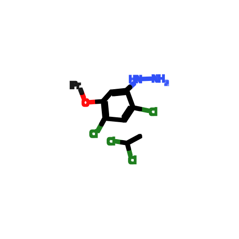 CC(C)Oc1cc(NN)c(Cl)cc1Cl.CC(Cl)Cl